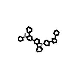 c1ccc(Nc2ccc(-c3ccc4c(c3)c3ccccc3n4-c3ccc(-c4cccc(-c5ccccc5)c4)cc3)cc2-c2ccccc2)cc1